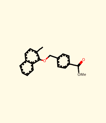 COC(=O)c1ccc(COc2c(C)ccc3ccccc23)cc1